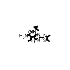 Cc1nc(-c2nc(NC3(C)CC3)c3c(C(N)=O)c(C)oc3n2)sc1C